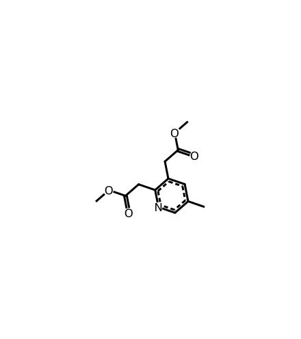 COC(=O)Cc1cc(C)cnc1CC(=O)OC